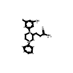 Cc1cc(O)cc(N2CCN(c3ccccc3)CC2CCC(N)=O)c1